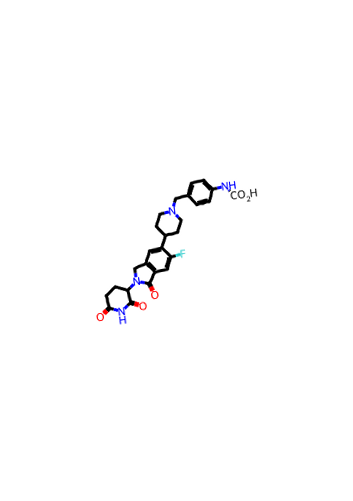 O=C(O)Nc1ccc(CN2CCC(c3cc4c(cc3F)C(=O)N(C3CCC(=O)NC3=O)C4)CC2)cc1